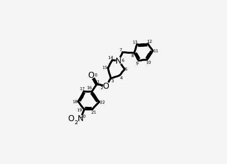 O=C(OC1CCN(Cc2ccccc2)CC1)c1ccc([N+](=O)[O-])cc1